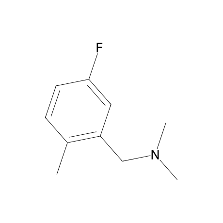 Cc1ccc(F)cc1CN(C)C